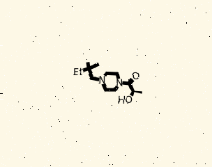 CCC(C)(C)CN1CCN(C(=O)[C@@H](C)O)CC1